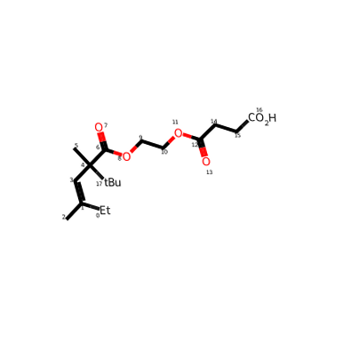 CC/C(C)=C\C(C)(C(=O)OCCOC(=O)CCC(=O)O)C(C)(C)C